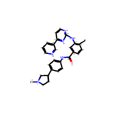 CCN1CCC(c2ccc(NC(=O)c3ccc(C)c(Nc4nccc(-c5cccnc5)n4)c3)cc2)C1